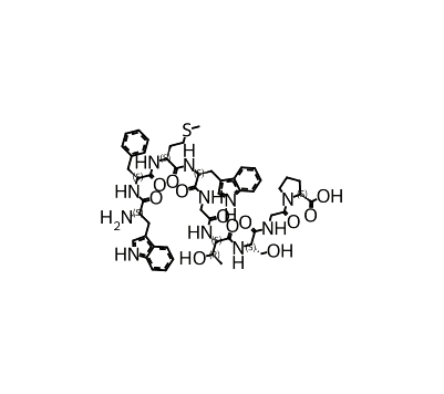 CSCC[C@H](NC(=O)[C@H](Cc1ccccc1)NC(=O)[C@@H](N)Cc1c[nH]c2ccccc12)C(=O)N[C@@H](Cc1c[nH]c2ccccc12)C(=O)NCC(=O)N[C@H](C(=O)N[C@@H](CO)C(=O)NCC(=O)N1CCC[C@H]1C(=O)O)[C@@H](C)O